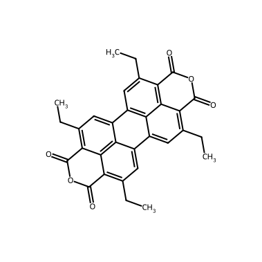 CCc1cc2c3cc(CC)c4c5c(c(CC)cc(c6cc(CC)c7c(c1C(=O)OC7=O)c26)c53)C(=O)OC4=O